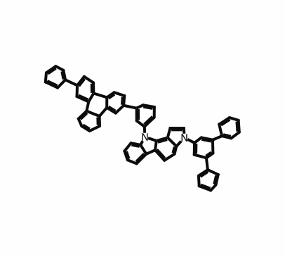 c1ccc(-c2cc(-c3ccccc3)cc(-n3ccc4c3ccc3c5ccccc5n(-c5cccc(-c6ccc7c8ccc(-c9ccccc9)cc8c8ccccc8c7c6)c5)c34)c2)cc1